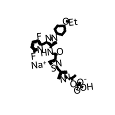 CCO[C@H]1CC[C@H](n2cc(NC(=O)c3csc(-c4cnn(C(C)OP(=O)([O-])O)c4)n3)c(-c3nc(F)ccc3F)n2)CC1.[Na+]